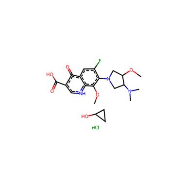 COc1c(N2CC(OC)C(N(C)C)C2)c(F)cc2c(=O)c(C(=O)O)c[nH]c12.Cl.OC1CC1